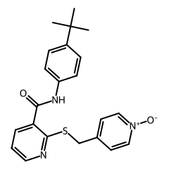 CC(C)(C)c1ccc(NC(=O)c2cccnc2SCc2cc[n+]([O-])cc2)cc1